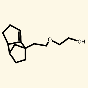 OCCOCCC12CCC(C1)C1CCC=C12